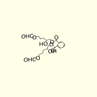 O=COCCCC(O)COC(=O)c1ccccc1C(=O)OCC(O)CCCOC=O